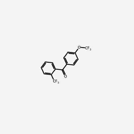 O=C(c1ccc(OC(F)(F)F)cc1)c1ccccc1C(F)(F)F